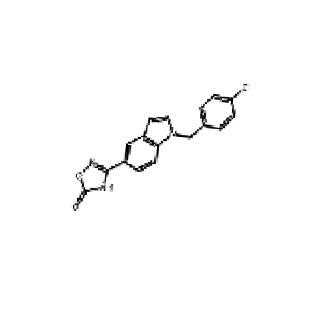 O=c1[nH]c(-c2ccc3c(ccn3Cc3ccc(Cl)cc3)c2)no1